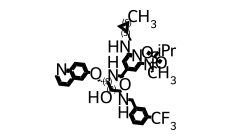 CC(C)S(=O)(=O)N(C)c1cc(C(=O)N[C@@H](COc2ccc3ncccc3c2)[C@H](O)CNCc2cccc(C(F)(F)F)c2)cc(NC[C@H]2C[C@@H]2C)n1